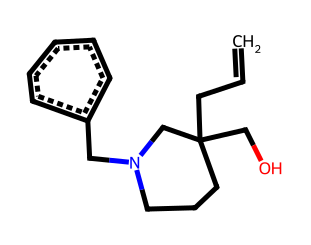 C=CCC1(CO)CCCN(Cc2ccccc2)C1